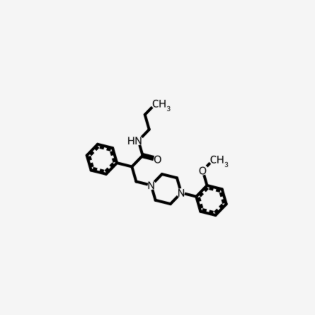 CCCNC(=O)C(CN1CCN(c2ccccc2OC)CC1)c1ccccc1